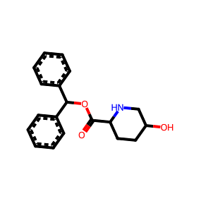 O=C(OC(c1ccccc1)c1ccccc1)C1CCC(O)CN1